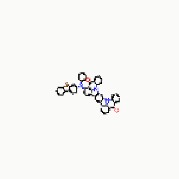 O=c1c2ccccc2n2c3cc4c(cc3c3cccc1c32)c1ccc(N(c2ccccc2)c2ccc3c(c2)sc2ccccc23)c2c(=O)c3ccccc3n4c21